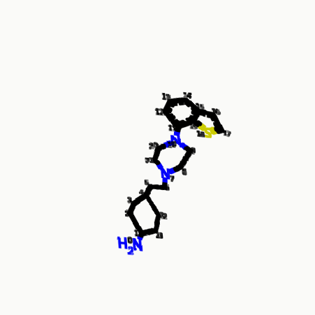 NC1CCC(CCN2CCN(c3cccc4ccsc34)CC2)CC1